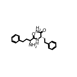 NC(=O)[C@H](CCc1ccccc1)NC(=O)[C@@H](N)CCc1ccccc1